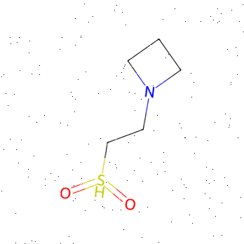 O=[SH](=O)CCN1CCC1